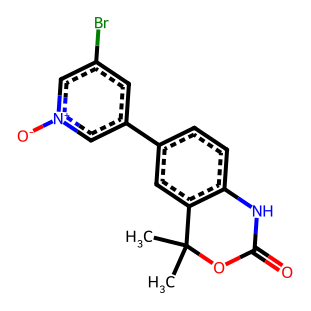 CC1(C)OC(=O)Nc2ccc(-c3cc(Br)c[n+]([O-])c3)cc21